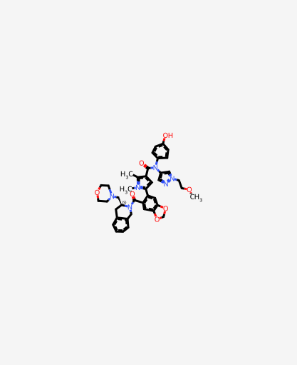 COCCn1cc(N(C(=O)c2cc(-c3cc4c(cc3C(=O)N3Cc5ccccc5C[C@H]3CN3CCOCC3)OCO4)n(C)c2C)c2ccc(O)cc2)cn1